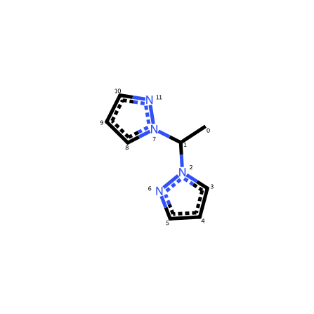 CC(n1cccn1)n1cccn1